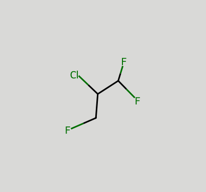 FCC(Cl)C(F)F